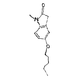 CCCCOc1ccc2c(c1)CC(=O)N2C